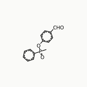 CP(=O)(Oc1ccc(C=O)cc1)c1ccccc1